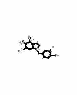 Cc1cc2c(ccn2Cc2ccc(F)c(F)c2)c(C)c1N